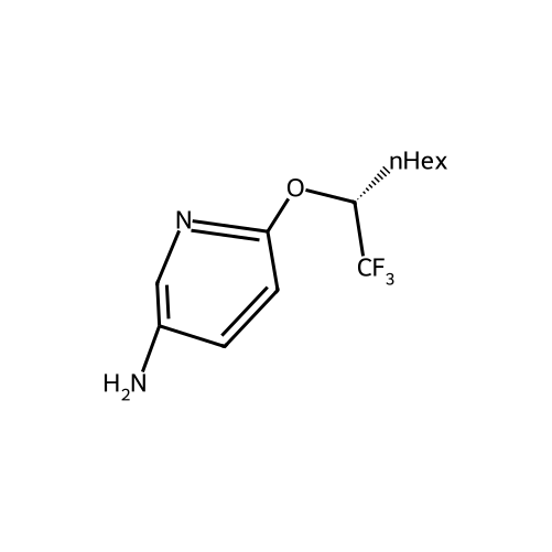 CCCCCC[C@@H](Oc1ccc(N)cn1)C(F)(F)F